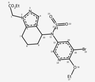 CCOC(=O)Cn1ncc2c1CCCC2N(c1cnc(OCC)c(Br)c1)[SH](=O)=O